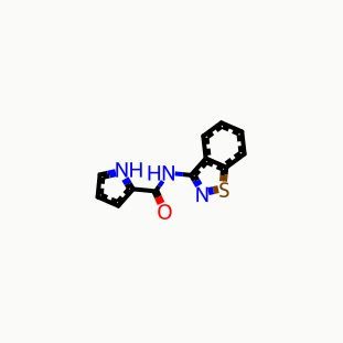 O=C(Nc1nsc2ccccc12)c1ccc[nH]1